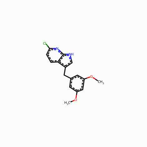 COc1cc(Cc2c[nH]c3nc(Cl)ccc23)cc(OC)c1